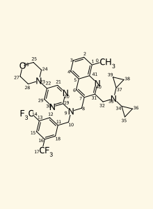 Cc1cccc2cc(CN(Cc3cc(C(F)(F)F)cc(C(F)(F)F)c3)c3ncc(N4CCOCC4)cn3)c(CN(C3CC3)C3CC3)nc12